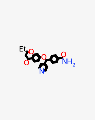 CCC1CC(=O)c2ccc(O[C@H](c3ccncc3)c3ccc(C(N)=O)cc3)cc2O1